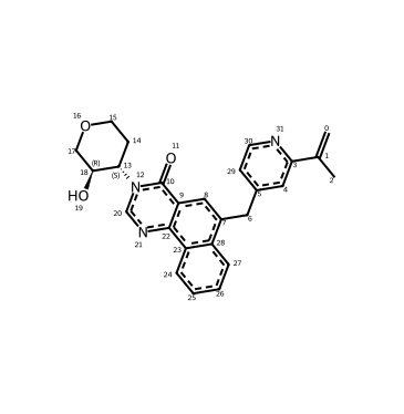 C=C(C)c1cc(Cc2cc3c(=O)n([C@H]4CCOC[C@@H]4O)cnc3c3ccccc23)ccn1